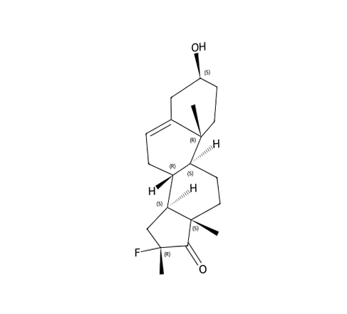 C[C@]12CC[C@H](O)CC1=CC[C@@H]1[C@@H]2CC[C@]2(C)C(=O)[C@](C)(F)C[C@@H]12